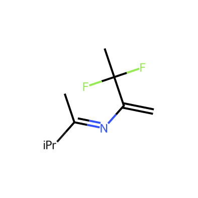 C=C(/N=C(\C)C(C)C)C(C)(F)F